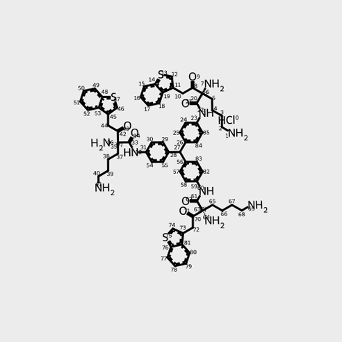 Cl.NCCCC[C@@](N)(C(=O)Cc1csc2ccccc12)C(=O)Nc1ccc(C(c2ccc(NC(=O)[C@@](N)(CCCCN)C(=O)Cc3csc4ccccc34)cc2)c2ccc(NC(=O)[C@@](N)(CCCCN)C(=O)Cc3csc4ccccc34)cc2)cc1